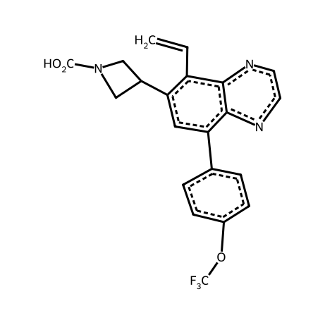 C=Cc1c(C2CN(C(=O)O)C2)cc(-c2ccc(OC(F)(F)F)cc2)c2nccnc12